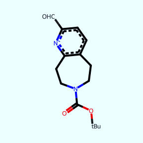 CC(C)(C)OC(=O)N1CCc2ccc(C=O)nc2CC1